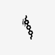 CCCC1=CC=C(C2CCC(C3CCC(CCC)CC3)CC2)C(F)(F)C1(F)F